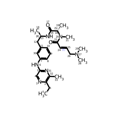 CCc1ncc(Nc2cccc(C[C@@H](C)NC(=O)[C@H](C)N(C)C(=O)/C=C/CN(C)C)c2)nc1C